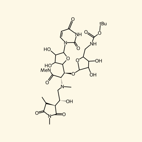 CNC(=O)[C@H]([C@H](OC1OC(CNC(=O)OC(C)(C)C)C(O)C1O)C1OC(n2ccc(=O)[nH]c2=O)C(O)C1O)N(C)C[C@H](O)[C@H]1C(=O)N(C)C(=O)C1C